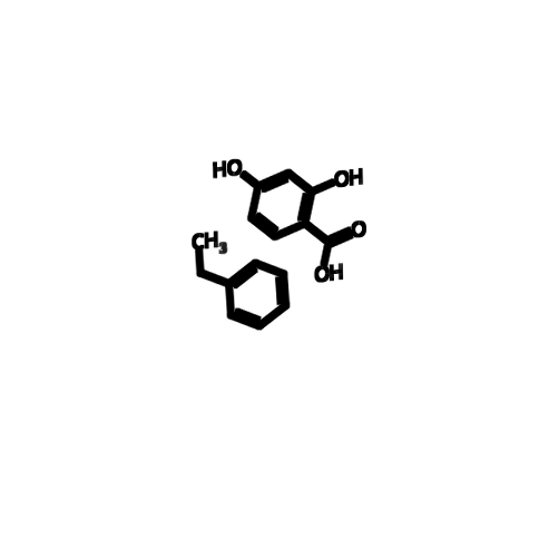 CCc1ccccc1.O=C(O)c1ccc(O)cc1O